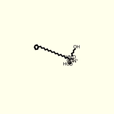 C[N+](C)(C)CC(CCCCCCCCCCCCCCCCCCc1ccccc1)(NC(=O)CCCCO)OP(=O)([O-])O